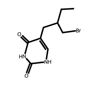 CCC(CBr)Cc1c[nH]c(=O)[nH]c1=O